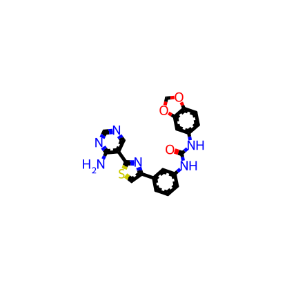 Nc1ncncc1-c1nc(-c2cccc(NC(=O)Nc3ccc4c(c3)OCO4)c2)cs1